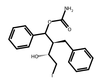 NC(=O)OC(c1ccccc1)[C@@H](Cc1ccccc1)[C@@H](O)CI